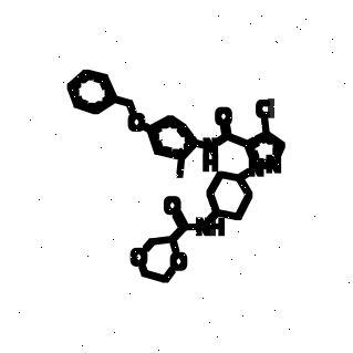 Cc1cc(OCc2ccccc2)ccc1NC(=O)c1c(Cl)cnn1C1CCC(NC(=O)C2COCCO2)CC1